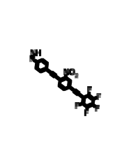 N=Nc1ccc(C#Cc2ccc(C#Cc3c(F)c(F)c(F)c(F)c3F)cc2[N+](=O)[O-])cc1